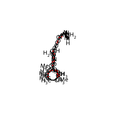 CO[C@H]1C[C@@H]2CC[C@@H](C)[C@@](O)(O2)C(=O)C(=O)N2CCCC[C@H]2C(=O)O[C@H]([C@H](N)C[C@@H]2CC[C@@H](OC(=O)N3CCc4nc(N5CCN(c6ncc(C(=O)NCCOCCOCCOCCOCCC(=O)N7CCc8cc(Cn9nc(-c%10cnc%11[nH]ccc%11c%10)c%10c(N)ncnc%109)ccc8C7)c(N)n6)CC5)ncc4C3)[C@H](OC)C2)CC(=O)[C@H](C)/C=C(\C)[C@@H](O)[C@@H](O)C(=O)[C@H](C)C[C@H](C)/C=C/C=C/C=C/1C